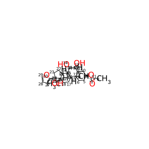 CC(=O)O[C@H]1CC[C@@]2(C)[C@H](C1)[C@@H](O)[C@H](O)[C@@H]1[C@@H]2CC[C@@]2(C)[C@H]1CC[C@@]2(O)c1ccco1